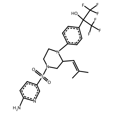 CC(C)=CC1CN(S(=O)(=O)c2ccc(N)nc2)CCN1c1ccc(C(O)(C(F)(F)F)C(F)(F)F)cc1